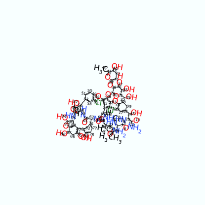 CN[C@H](CC(C)C)C(=O)N[C@@H](C(N)=O)[C@H](O)C1=CC(Cl)=C(Oc2cc3cc(c2O[C@H]2OC(CO)C(O)[C@H](O)C2O[C@H]2CC[C@H](O)[C@H](C)O2)Oc2ccc(cc2Cl)[C@@H](O)[C@@H]2NC(=O)C(NC(=O)[C@@H]3NC(=O)[C@@H](C)CC(N)=O)C3=CC=C(O)C(C3)C3=C(O)CC(O)C=C3[C@@H](C(=O)O)NC2=O)CC1